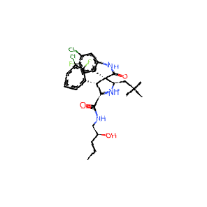 CCC[C@H](O)CNC(=O)[C@@H]1N[C@H](CC(C)(C)C)[C@]2(C(=O)Nc3cc(Cl)c(F)cc32)[C@H]1c1cccc(Cl)c1F